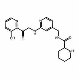 O=C(CNc1cc(CNC(=O)C2CCCCN2)ccn1)c1ncccc1O